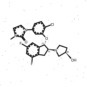 Cn1ccn(-c2ccc(Cl)c(O[C@H]3c4cc(F)cc(F)c4C[C@@H]3N3CC[C@@H](O)C3)c2)c1=O